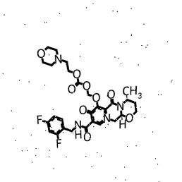 C[C@@H]1CCO[C@H]2Cn3cc(C(=O)NCc4ccc(F)cc4F)c(=O)c(OCOC(=O)OCCN4CCOCC4)c3C(=O)N12